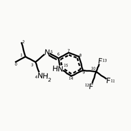 CC(C)C(N)/N=c1/ccc(C(F)(F)F)c[nH]1